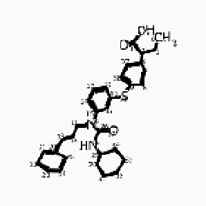 CCC(C(=O)O)c1ccc(Sc2cccc(N(CCCc3ccccc3)C(=O)NC3CCCCC3)c2)cc1